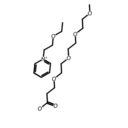 CCOCC[n+]1ccccc1.COCCOCCOCCOCCC(=O)[O-]